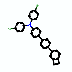 Brc1ccc(N(c2ccc(Br)cc2)c2ccc(-c3ccc(-c4ccc5c(c4)C=C5)cc3)cc2)cc1